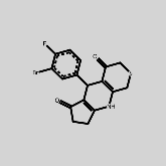 O=C1CCC2=C1C(c1ccc(F)c(Br)c1)C1=C(CSCC1=O)N2